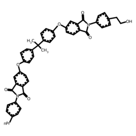 CCCc1ccc(N2C(=O)c3ccc(Oc4ccc(C(C)(C)c5ccc(Oc6ccc7c(c6)C(=O)N(c6ccc(CCO)cc6)C7=O)cc5)cc4)cc3C2=O)cc1